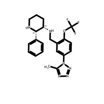 Cc1nnnn1-c1ccc(OC(F)(F)F)c(CN[C@H]2CCCN[C@H]2c2ccccc2)c1